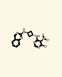 O=[N+]([O-])c1c(Cl)ncnc1N[C@H]1C[C@H](Nc2ncc3ccccc3n2)C1